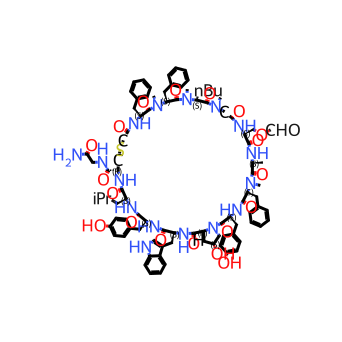 CCCC[C@H]1C(=O)N(C)CC(=O)N[C@@H](COC=O)C(=O)N[C@@H](C)C(=O)N(C)[C@@H](Cc2ccccc2)C(=O)N[C@@H](Cc2ccc(O)cc2)C(=O)N2C[C@@H](O)C[C@@H]2C(=O)N[C@@H](Cc2c[nH]c3ccccc23)C(=O)N[C@@H](Cc2ccc(O)cc2)C(=O)N[C@@H](CC(C)C)C(=O)N[C@H](C(=O)NCC(N)=O)CSCC(=O)N[C@@H](Cc2ccccc2)C(=O)N(C)[C@@H](Cc2ccccc2)C(=O)N1C